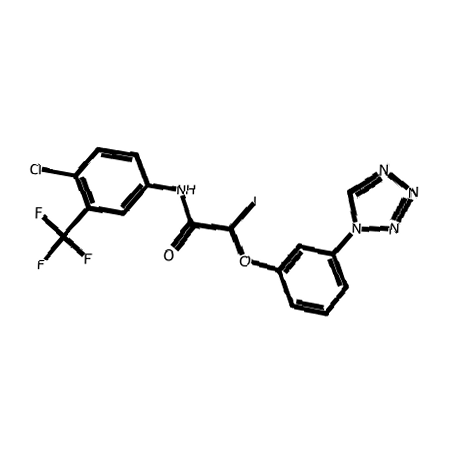 O=C(Nc1ccc(Cl)c(C(F)(F)F)c1)C(I)Oc1cccc(-n2cnnn2)c1